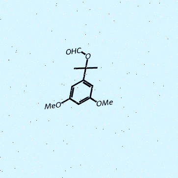 COc1cc(OC)cc(C(C)(C)OC=O)c1